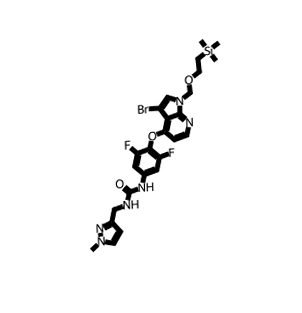 Cn1ccc(CNC(=O)Nc2cc(F)c(Oc3ccnc4c3c(Br)cn4COCC[Si](C)(C)C)c(F)c2)n1